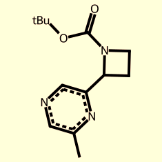 Cc1cncc(C2CCN2C(=O)OC(C)(C)C)n1